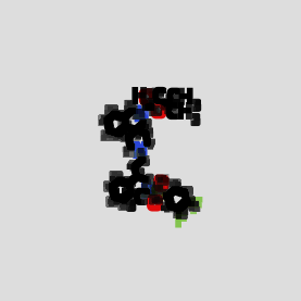 CN(CC(CCN1CCC2(CC1)CN(C(=O)OC(C)(C)C)Cc1ccccc12)c1ccccc1)S(=O)(=O)c1ccc(F)c(F)c1